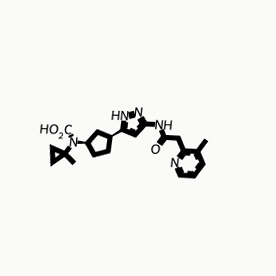 Cc1cccnc1CC(=O)Nc1cc([C@H]2CC[C@@H](N(C(=O)O)C3(C)CC3)C2)[nH]n1